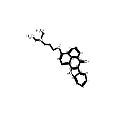 CCN(CC)CCCOc1ccc2c3c(cccc13)C(=O)c1c-2oc2ccccc12